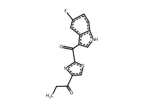 CCC(=O)c1csc(C(=O)c2c[nH]c3ccc(F)cc23)n1